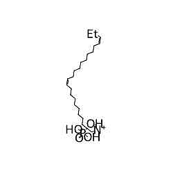 CC/C=C\CCCCCCCC/C=C\CCCCCCCCC(O)(C[N+](C)(C)C)P(=O)(O)O